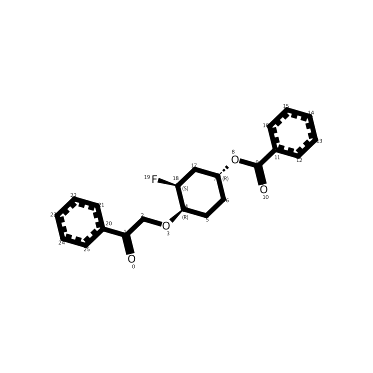 O=C(CO[C@@H]1CC[C@@H](OC(=O)c2ccccc2)C[C@@H]1F)c1ccccc1